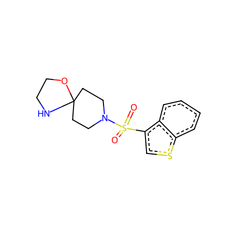 O=S(=O)(c1csc2ccccc12)N1CCC2(CC1)NCCO2